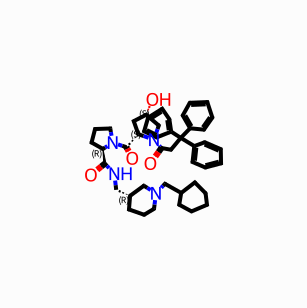 O=C(NC[C@H]1CCCN(CC2CCCCC2)C1)[C@H]1CCCN1C(=O)[C@@H]1C[C@H](O)CN1C(=O)CC(c1ccccc1)(c1ccccc1)c1ccccc1